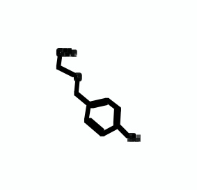 CCC(C)c1ccc(COCOC)cc1